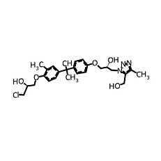 Cc1cc(C(C)(C)c2ccc(OC[C@H](O)Cn3nnc(C)c3CO)cc2)ccc1OC[C@H](O)CCl